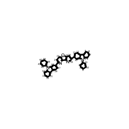 c1ccc(-n2c3ccccc3c3ccc(-c4cnc5c(c4)oc4ccc(-c6ccc7c8ccccc8n(-c8ccccc8)c7c6)nc45)cc32)cc1